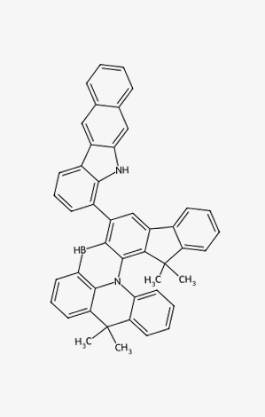 CC1(C)c2ccccc2N2c3c(cccc31)Bc1c(-c3cccc4c3[nH]c3cc5ccccc5cc34)cc3c(c12)C(C)(C)c1ccccc1-3